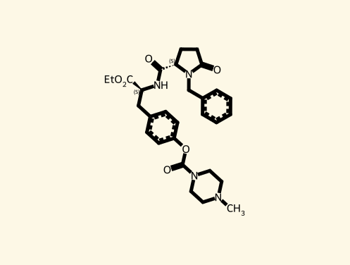 CCOC(=O)[C@H](Cc1ccc(OC(=O)N2CCN(C)CC2)cc1)NC(=O)[C@@H]1CCC(=O)N1Cc1ccccc1